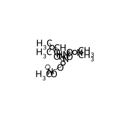 Cc1cc(C)c(COC(=O)CN2Cc3cc(OCCCC(=O)N(C)C4CCCCC4)ccc3N=C2NC(=O)Oc2ccc(N(C)C)cc2)c(C)c1